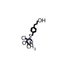 CN(I)/N=C\C(SCc1ccc(CCCO)cc1)=C(\Cl)C=O